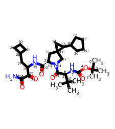 CC(C)(C)OC(=O)N[C@H](C(=O)N1CC2(CC2C2CCCC2)C[C@H]1C(=O)NC(CC1CCC1)C(=O)C(N)=O)C(C)(C)C